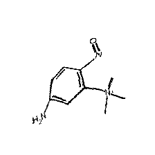 C[N+](C)(C)c1cc(N)ccc1N=O